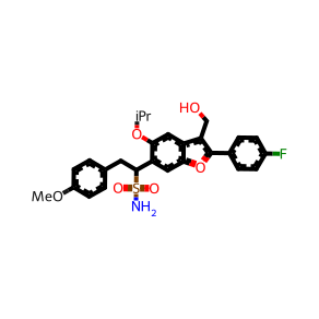 COc1ccc(CC(c2cc3oc(-c4ccc(F)cc4)c(CO)c3cc2OC(C)C)S(N)(=O)=O)cc1